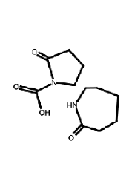 O=C(O)N1CCCC1=O.O=C1CCCCCN1